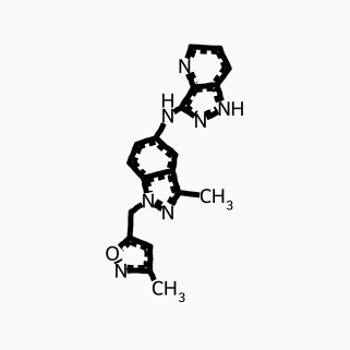 Cc1cc(Cn2nc(C)c3cc(Nc4n[nH]c5cccnc45)ccc32)on1